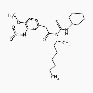 CCCCCCC(C)N(C(=O)Cc1ccc(OC)c(N=S(=O)=O)c1)C(=S)NC1CCCCC1